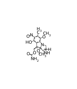 COc1c(C)c(N=O)c(O)c2c1N1C[C@@H]3NC3[C@@]1(OC)[C@H]2COC(N)=O